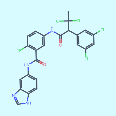 CC(Cl)(Cl)C(C(=O)Nc1ccc(Cl)c(C(=O)Nc2ccc3[nH]cnc3c2)c1)c1cc(Cl)cc(Cl)c1